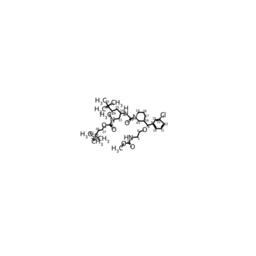 COC(=O)NCCO[C@@H](c1cccc(Cl)c1)C1CCCN(C(=O)NC(CCC(C)(C)C)CN(C)C(=O)OCC[Si](C)(C)C)C1